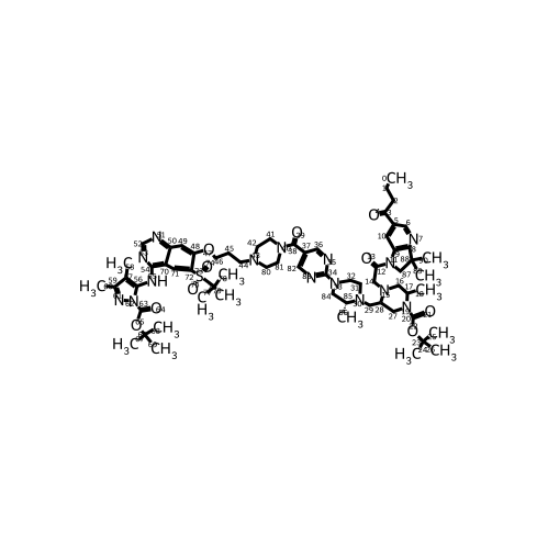 CCCC(=O)c1cnc2c(c1)N(C(=O)CN1CC(C)N(C(=O)OC(C)(C)C)CC1CN1CCN(c3ncc(C(=O)N4CCN(CCCOc5cc6ncnc(Nc7c(C)c(C)nn7C(=O)OC(C)(C)C)c6cc5S(=O)(=O)C(C)(C)C)CC4)cn3)C[C@H]1C)CC2(C)C